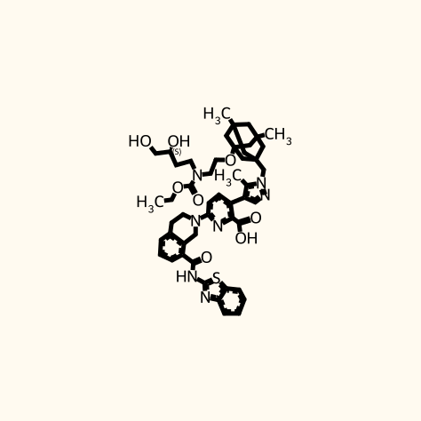 CCOC(=O)N(CCOC12CC3(C)CC(C)(CC(Cn4ncc(-c5ccc(N6CCc7cccc(C(=O)Nc8nc9ccccc9s8)c7C6)nc5C(=O)O)c4C)(C3)C1)C2)CC[C@H](O)CO